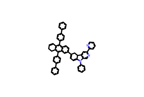 C1=Cc2c(c(-c3ccc(-c4ccccc4)cc3)c3cc(C4=CC=C5C(C4)c4cc(-c6ccccn6)ncc4N5c4ccccc4)ccc3c2-c2ccc(-c3ccccc3)cc2)CC1